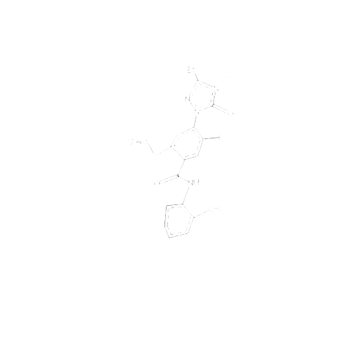 CCCC(C)Oc1cc(-n2nc(CC)n(C)c2=O)c(F)cc1C(=O)Nc1ccccc1O